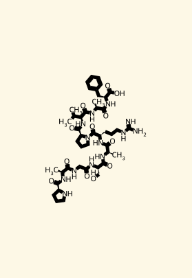 CC(C)[C@H](NC(=O)[C@@H]1CCCN1C(=O)[C@H](CCCNC(=N)N)NC(=O)[C@H](C)NC(=O)[C@H](CO)NC(=O)CNC(=O)[C@H](C)NC(=O)[C@@H]1CCCN1)C(=O)N[C@@H](C)C(=O)N[C@@H](Cc1ccccc1)C(=O)O